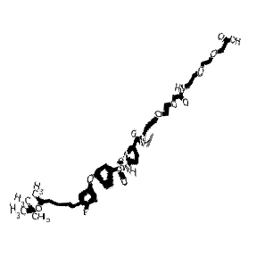 CC(CCCCc1cc(Oc2ccc(S(=O)(=O)Nc3ccc(C(=O)NCCOCCOCC(=O)NCCOCCOCC(=O)O)cn3)cc2)ccc1F)OC(C)(C)C